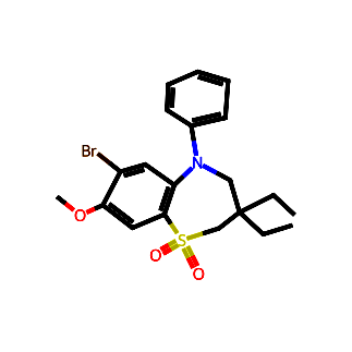 CCC1(CC)CN(c2ccccc2)c2cc(Br)c(OC)cc2S(=O)(=O)C1